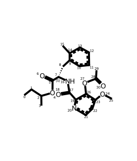 CCC(C)OC(=O)[C@H](Cc1ccccc1C)NC(=O)c1nccc(OC)c1OC(C)=O